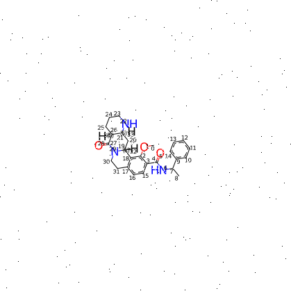 COc1c(C(=O)NC(C)c2ccccc2)ccc2c1[C@H]1C[C@@H]3NCCC[C@@H]3C(=O)N1CC2